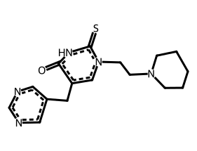 O=c1[nH]c(=S)n(CCN2CCCCC2)cc1Cc1cncnc1